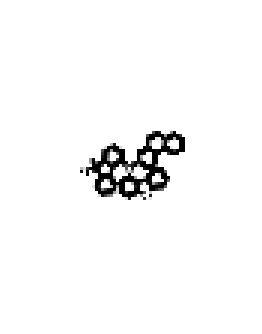 CCC1(C)c2ccccc2-c2c(N(c3ccc4c(ccc5ccccc54)c3)c3cccc4oc5ccccc5c34)cccc21